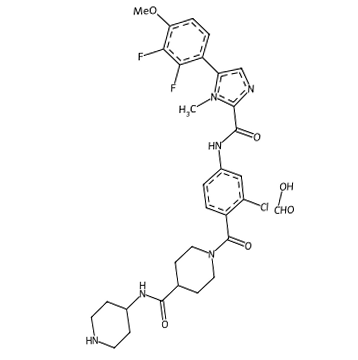 COc1ccc(-c2cnc(C(=O)Nc3ccc(C(=O)N4CCC(C(=O)NC5CCNCC5)CC4)c(Cl)c3)n2C)c(F)c1F.O=CO